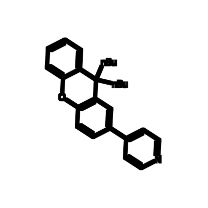 CCCCC1(CCCC)c2ccccc2Oc2ccc(-c3ccncc3)cc21